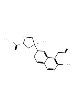 C=CCc1c(OC)ccc2c1=CC([C@@]1(OC)CN[C@H](C(=O)OC)C1)CC=2